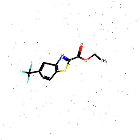 CCOC(=O)c1nc2cc(C(F)(F)F)ccc2s1